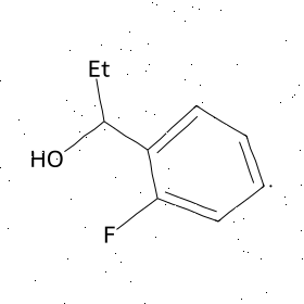 CCC(O)c1cc[c]cc1F